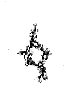 C=CC(=O)OCc1cc(COC(=O)C=C)cc(OCCC(C)COc2cc(COC(=O)C=C)cc(COC(=O)C=C)c2)c1